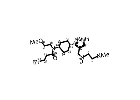 CNCCN(C)Cc1c[nH]nc1[C@H]1CC[C@H](N(CCOC)C(=O)CCC(C)C)CC1